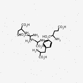 CC(C)C(N)C(=O)O.CC(N)C(=O)O.NC(CCC(=O)O)C(=O)O.NC(CS)C(=O)O.NC(Cc1ccccc1)C(=O)O